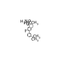 CC(C)c1cccc(-c2cc3c(cc2F)[C@H](OC(N)=O)C(C)(C)CC3)c1